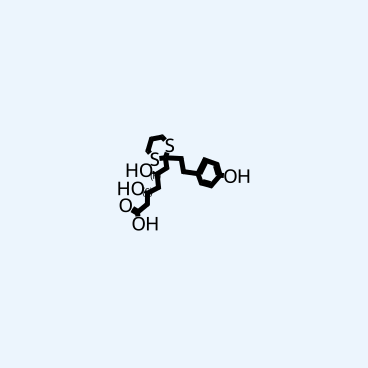 O=C(O)C[C@@H](O)C[C@@H](O)CC1(CCc2ccc(O)cc2)SCCCS1